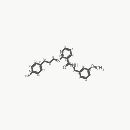 COc1cccc(CNC(=O)c2cccnc2SCCCc2ccc(F)cc2)c1